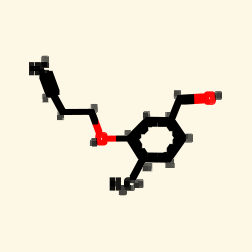 C#CCCOc1cc(C=O)ccc1C